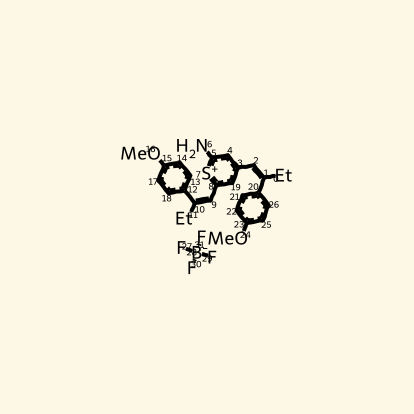 CCC(=Cc1cc(N)[s+]c(C=C(CC)c2ccc(OC)cc2)c1)c1ccc(OC)cc1.F[B-](F)(F)F